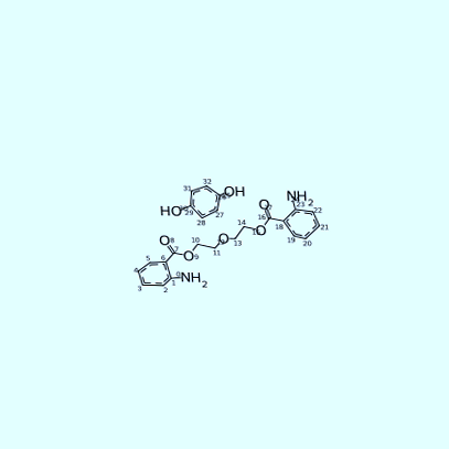 Nc1ccccc1C(=O)OCCOCCOC(=O)c1ccccc1N.Oc1ccc(O)cc1